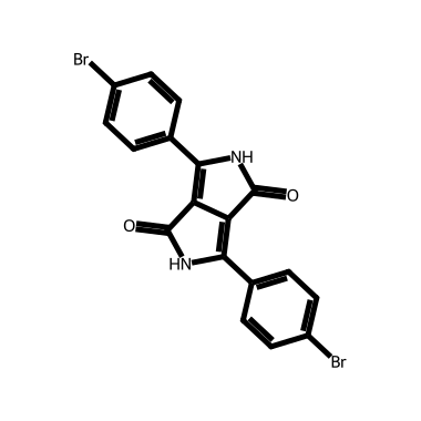 O=C1NC(c2ccc(Br)cc2)=C2C(=O)NC(c3ccc(Br)cc3)=C12